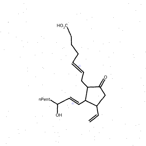 C=CC1CC(=O)C(C/C=C/CCCC(=O)O)C1/C=C/C(O)CCCCC